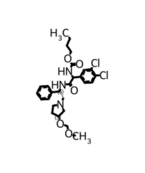 CCCCOC(=O)NC(C(=O)N[C@H](CN1CC[C@H](OCOC)C1)c1ccccc1)c1ccc(Cl)c(Cl)c1